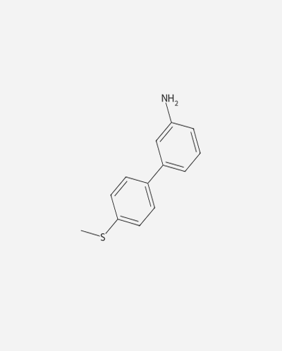 CSc1ccc(-c2cccc(N)c2)cc1